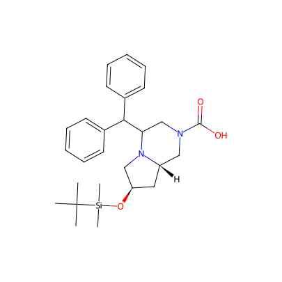 CC(C)(C)[Si](C)(C)O[C@@H]1C[C@H]2CN(C(=O)O)CC(C(c3ccccc3)c3ccccc3)N2C1